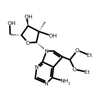 CCOC(OCC)c1cn([C@@H]2O[C@H](CO)[C@@H](O)[C@@]2(C)O)c2ncnc(N)c12